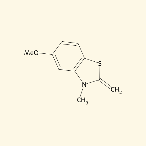 C=C1Sc2ccc(OC)cc2N1C